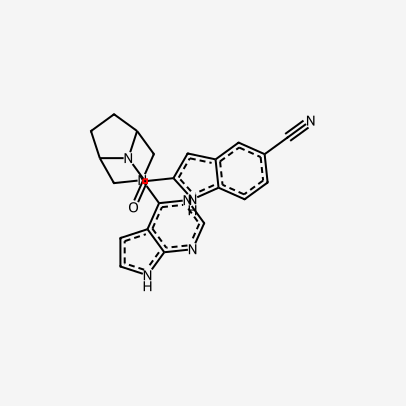 N#Cc1ccc2[nH]c(C(=O)N3C4CCC3CN(c3ncnc5[nH]ccc35)C4)cc2c1